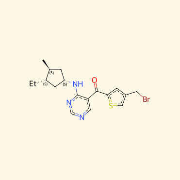 CC[C@H]1C[C@@H](Nc2ncncc2C(=O)c2cc(CBr)cs2)C[C@@H]1C